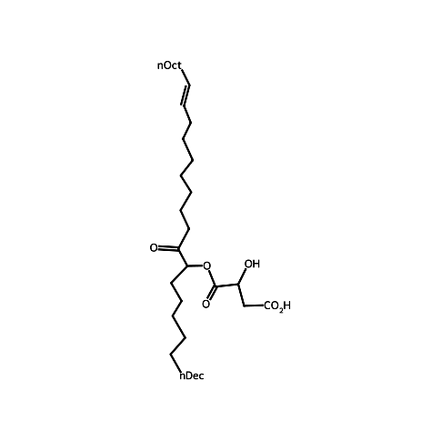 CCCCCCCCC=CCCCCCCCC(=O)C(CCCCCCCCCCCCCCC)OC(=O)C(O)CC(=O)O